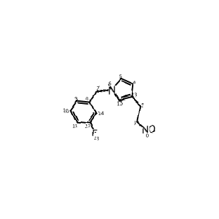 O=NCCc1ccn(Cc2cccc(F)c2)c1